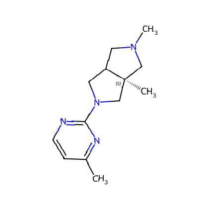 Cc1ccnc(N2CC3CN(C)C[C@@]3(C)C2)n1